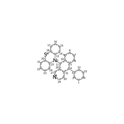 c1ccc(-c2c3ccccc3c(N3c4ccccc4Sc4ccccc43)c3cnccc23)cc1